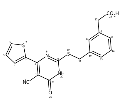 N#Cc1c(-c2cccs2)nc(SCc2cccc(CC(=O)O)c2)[nH]c1=O